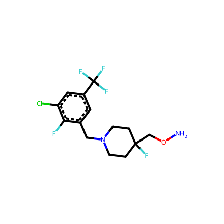 NOCC1(F)CCN(Cc2cc(C(F)(F)F)cc(Cl)c2F)CC1